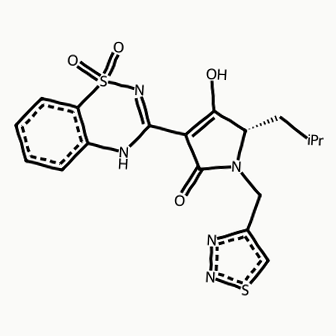 CC(C)C[C@H]1C(O)=C(C2=NS(=O)(=O)c3ccccc3N2)C(=O)N1Cc1csnn1